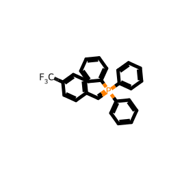 FC(F)(F)c1ccc(C=P(c2ccccc2)(c2ccccc2)c2ccccc2)cc1